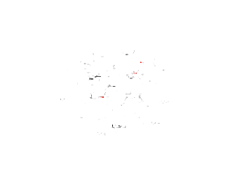 COC1=C(OC)C(c2c(OC)c(OC)c(OC)c(-c3ccccc3)c2P(c2ccccc2)c2ccccc2)=C(P(c2ccccc2)c2ccccc2)C(c2ccccc2)=C(OC)C1